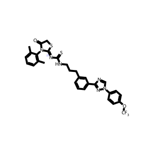 Cc1cccc(C)c1N1C(=O)CS/C1=N\C(=S)NCCCc1cccc(-c2ncn(-c3ccc(OC(F)(F)F)cc3)n2)c1